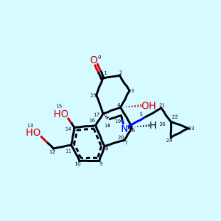 O=C1CC[C@@]2(O)[C@H]3Cc4ccc(CO)c(O)c4[C@@]2(CCN3CC2CC2)C1